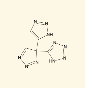 C1=NN=NC1(c1cnn[nH]1)c1nnn[nH]1